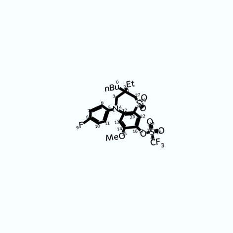 CCCCC1(CC)CN(c2ccc(F)cc2)c2cc(OC)c(OS(=O)(=O)C(F)(F)F)cc2S(=O)(=O)C1